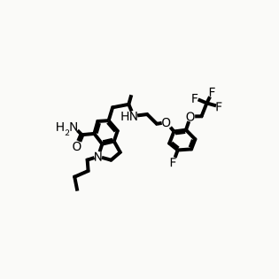 CCCCN1CCc2cc(CC(C)NCCOc3cc(F)ccc3OCC(F)(F)F)cc(C(N)=O)c21